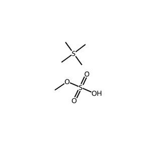 COS(=O)(=O)O.CS(C)(C)C